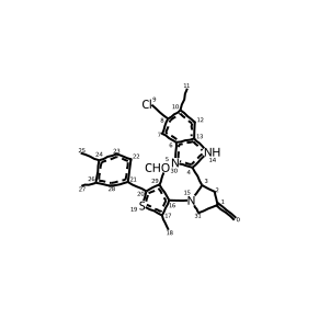 C=C1CC(c2nc3cc(Cl)c(C)cc3[nH]2)N(c2c(C)sc(-c3ccc(C)c(C)c3)c2C=O)C1